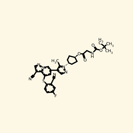 Cc1c(-c2cc(Sc3ccc(F)cc3C#N)c3c(C#N)cnn3c2)cnn1[C@H]1CC[C@H](OC(=O)CNC(=O)OC(C)(C)C)CC1